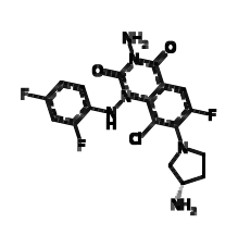 N[C@H]1CCN(c2c(F)cc3c(=O)n(N)c(=O)n(Nc4ccc(F)cc4F)c3c2Cl)C1